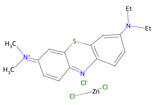 CCN(CC)c1ccc2nc3ccc(=[N+](C)C)cc-3sc2c1.[Cl-].[Cl][Zn][Cl]